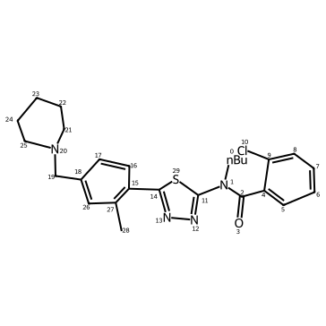 CCCCN(C(=O)c1ccccc1Cl)c1nnc(-c2ccc(CN3CCCCC3)cc2C)s1